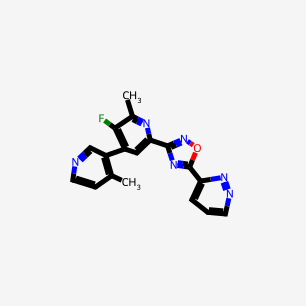 Cc1ccncc1-c1cc(-c2noc(-c3cccnn3)n2)nc(C)c1F